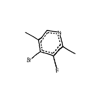 Cc1cnc(C)c(F)c1Br